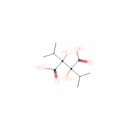 CC(C)C(O)(C(=O)O)C(O)(C(=O)O)C(C)C